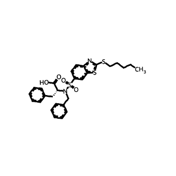 CCCCCSc1nc2ccc(S(=O)(=O)N(Cc3ccccc3)[C@H](Cc3ccccc3)C(=O)O)cc2s1